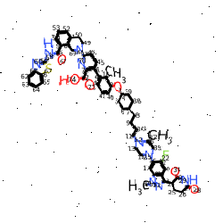 Cc1c(O[C@H]2CC[C@H](CCCCN3CCN(c4cc5c(cc4F)c(C4CCC(=O)NC4=O)nn5C)CC3C)CC2)cccc1-c1ccc(N2CCc3cccc(C(=O)Nc4nc5ccccc5s4)c3C2)nc1C(=O)O